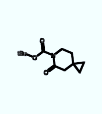 CC(C)(C)OC(=O)N1CCC2(CC2)CC1=O